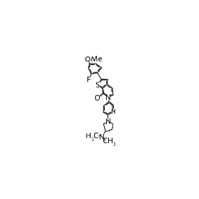 COc1ccc(-c2cc3ccn(-c4ccc(N5CCC(N(C)C)C5)nc4)c(=O)c3s2)c(F)c1